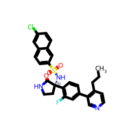 CCCc1ccncc1-c1ccc([C@@]2(NS(=O)(=O)c3ccc4cc(Cl)ccc4c3)CCNC2=O)c(F)c1